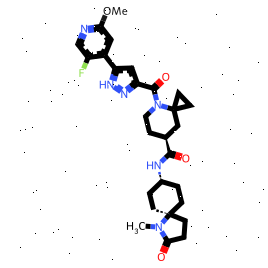 COc1cc(-c2cc(C(=O)N3CC[C@H](C(=O)N[C@H]4CC[C@@]5(CCC(=O)N5C)CC4)CC34CC4)n[nH]2)c(F)cn1